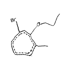 CCOc1c(C)[c]ccc1Br